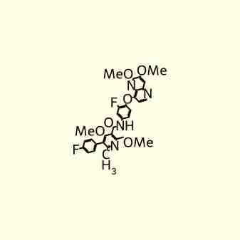 COCc1nc(C)c(-c2ccc(F)cc2)c(OC)c1C(=O)Nc1ccc(Oc2ccnc3cc(OC)c(OC)nc23)c(F)c1